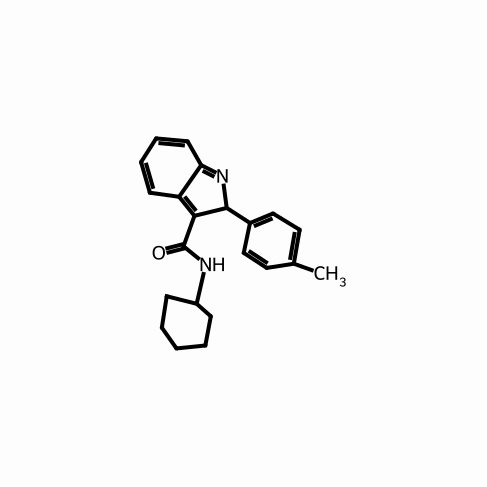 Cc1ccc(C2N=c3ccccc3=C2C(=O)NC2CCCCC2)cc1